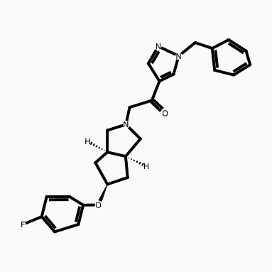 O=C(CN1C[C@H]2C[C@@H](Oc3ccc(F)cc3)C[C@H]2C1)c1cnn(Cc2ccccc2)c1